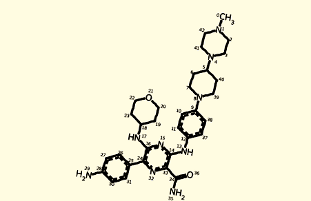 CN1CCN(C2CCN(c3ccc(Nc4nc(NC5CCOCC5)c(-c5ccc(N)cc5)nc4C(N)=O)cc3)CC2)CC1